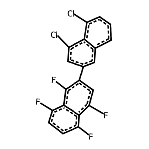 Fc1ccc(F)c2c(F)c(-c3cc(Cl)c4c(Cl)cccc4c3)cc(F)c12